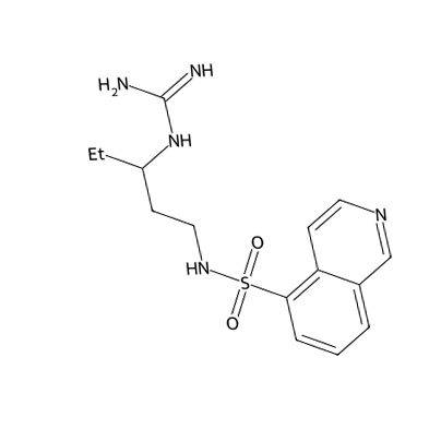 CCC(CCNS(=O)(=O)c1cccc2cnccc12)NC(=N)N